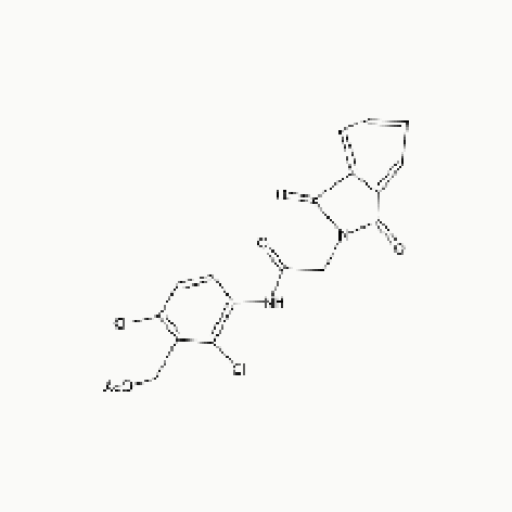 CC(=O)OCc1c(Cl)ccc(NC(=O)CN2C(=O)c3ccccc3C2=O)c1Cl